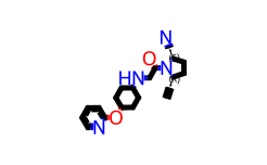 C#C[C@H]1CC[C@@H](C#N)N1C(=O)CNC1CCC(Oc2ccccn2)CC1